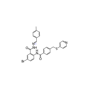 Cc1ccc(/C=N/NC(=O)c2cc(Br)ccc2NC(=O)c2ccc(CSc3ccncc3)cc2)cc1